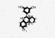 Oc1cc(O)cc([C@@H]2Nc3ccc(C(F)(F)F)cc3[C@H]3OCCC[C@H]32)c1